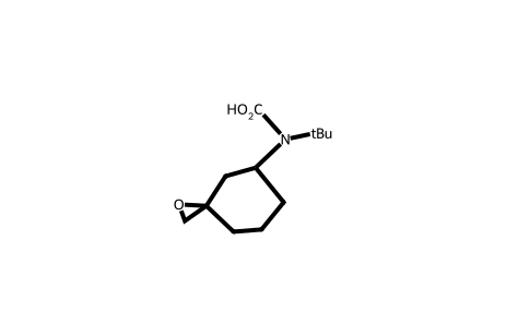 CC(C)(C)N(C(=O)O)C1CCCC2(CO2)C1